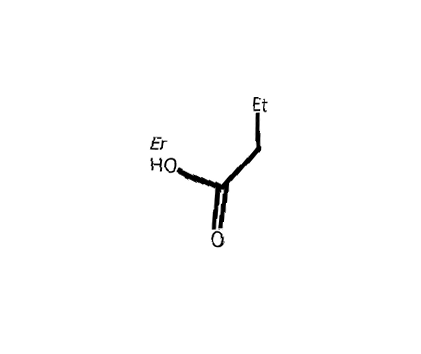 CCCC(=O)O.[Er]